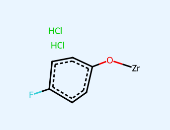 Cl.Cl.Fc1ccc([O][Zr])cc1